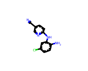 N#Cc1ccc(Nc2cc(Cl)ccc2N)nc1